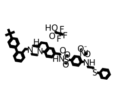 CC(C)(C)c1ccc(-c2ccccc2CN2CCN3c4ccc(C(=O)NS(=O)(=O)c5ccc(NCCSc6ccccc6)c([N+](=O)[O-])c5)cc4CC[C@H]3C2)cc1.O=C(O)C(F)(F)F